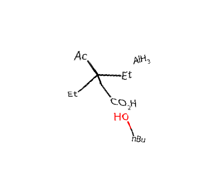 CCC(CC)(C(C)=O)C(=O)O.CCCCO.[AlH3]